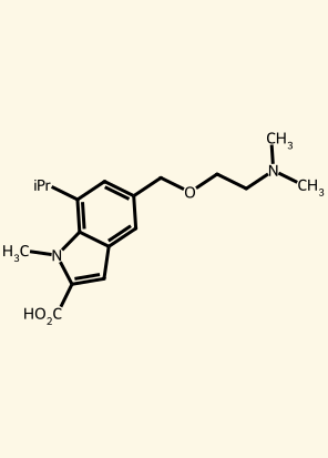 CC(C)c1cc(COCCN(C)C)cc2cc(C(=O)O)n(C)c12